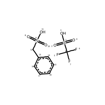 O=S(=O)(O)C(F)(F)F.O=S(=O)(O)Cc1ccccc1